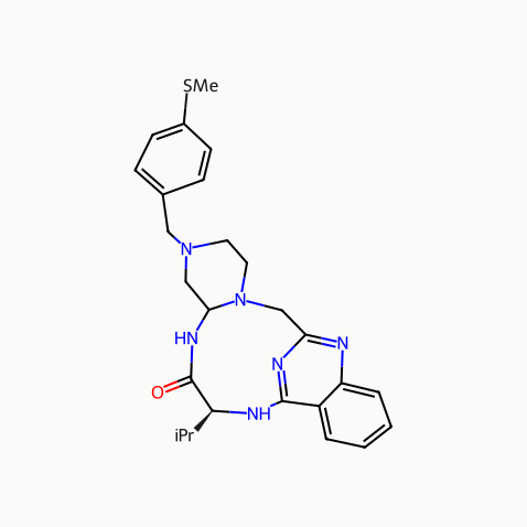 CSc1ccc(CN2CCN3Cc4nc(c5ccccc5n4)N[C@@H](C(C)C)C(=O)NC3C2)cc1